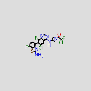 Nc1nc2c(-c3c(Cl)cc4c(NC5CN(C(=O)C(F)Cl)C5)ncnc4c3F)ccc(F)c2s1